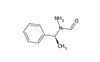 C[C@@H](c1ccccc1)N(N)C=O